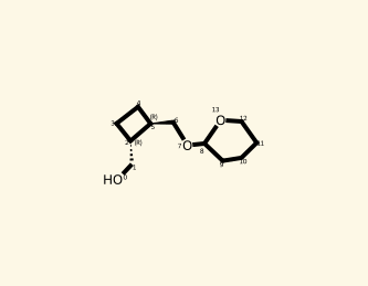 OC[C@@H]1CC[C@H]1COC1CCCCO1